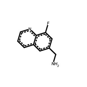 NCc1cc(F)c2ncccc2c1